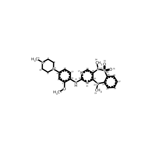 COc1cc(N2CCN(C)CC2)ccc1Nc1ncc2c(n1)N(C)c1ccccc1S(=O)(=O)N2C